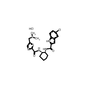 CN(C)Cc1cnc(C(=O)N[C@@H]2CCCC[C@@H]2NC(=O)c2cc3cc(Cl)ccc3[nH]2)s1.Cl